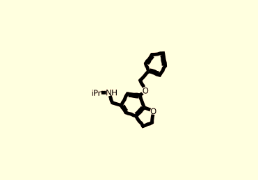 CC(C)NCc1cc2c(c(OCc3ccccc3)c1)OCC2